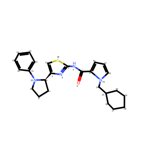 O=C(Nc1nc([C@H]2CCCN2c2ccccc2)cs1)c1cccn1CC1CCCCC1